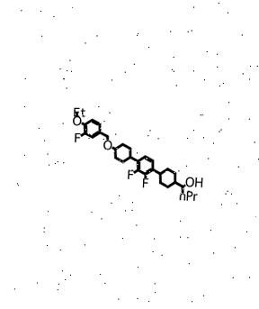 CCCC(O)C1CCC(c2ccc(C3CCC(OCc4ccc(OCC)c(F)c4)CC3)c(F)c2F)CC1